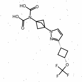 O=C(O)N(C(=O)O)C12CC(n3ccc([C@H]4C[C@@H](OC(F)(F)F)C4)n3)(C1)C2